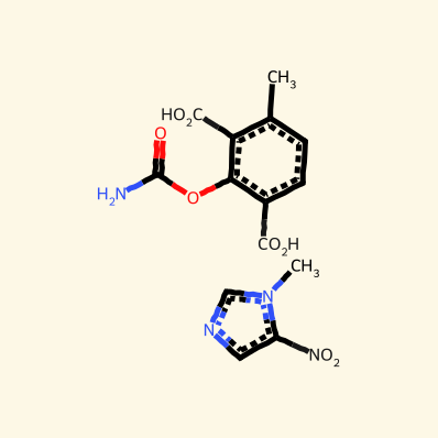 Cc1ccc(C(=O)O)c(OC(N)=O)c1C(=O)O.Cn1cncc1[N+](=O)[O-]